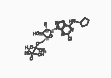 CC(C)(OC[C@H]1O[C@@H](n2ncc3c(NC4CCCC4)nc(Cl)nc32)[C@@H](F)[C@@H]1O)P(=O)(O)O